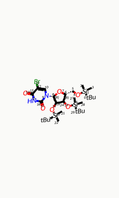 CC(C)(C)[Si](C)(C)OC[C@H]1O[C@@H](n2cc(Br)c(=O)[nH]c2=O)C(O[Si](C)(C)C(C)(C)C)C1O[Si](C)(C)C(C)(C)C